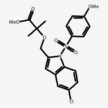 COC(=O)C(C)(C)OCc1cc2cc(Cl)ccc2n1S(=O)(=O)c1ccc(OC)cc1